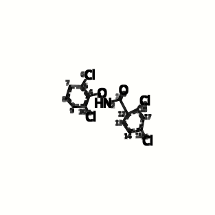 O=C(NOc1c(Cl)cccc1Cl)c1ccc(Cl)cc1Cl